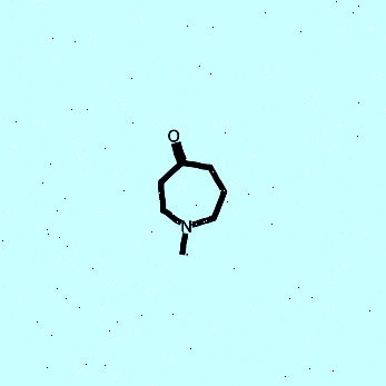 [CH2]N1CCCC(=O)CC1